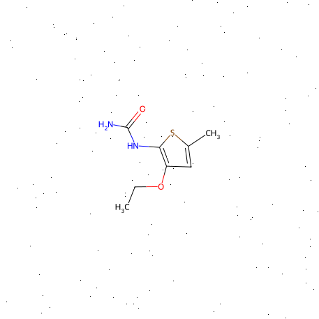 CCOc1cc(C)sc1NC(N)=O